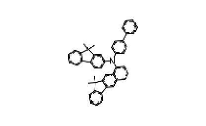 CC1(C)c2ccccc2-c2ccc(N(c3ccc(-c4ccccc4)cc3)c3cccc4cc5c(cc34)C(C)(C)c3ccccc3-5)cc21